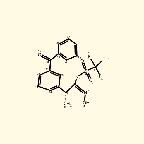 C[C@@H](/C(=N\O)NS(=O)(=O)C(F)(F)F)c1cccc(C(=O)c2ccccc2)c1